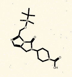 CC(C)(C)[Si](C)(C)OCc1ncc2n1C(=O)N(C1CCN(C(=O)O)CC1)C2